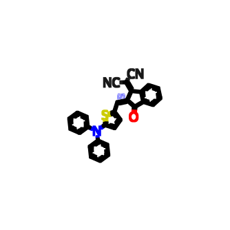 N#CC(C#N)=C1/C(=C/c2ccc(N(c3ccccc3)c3ccccc3)s2)C(=O)c2ccccc21